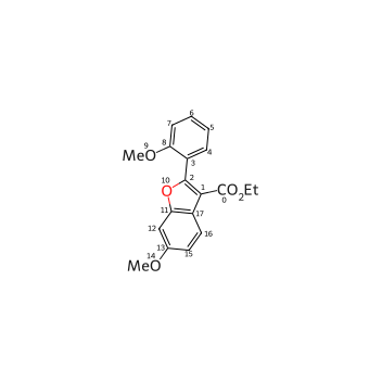 CCOC(=O)c1c(-c2ccccc2OC)oc2cc(OC)ccc12